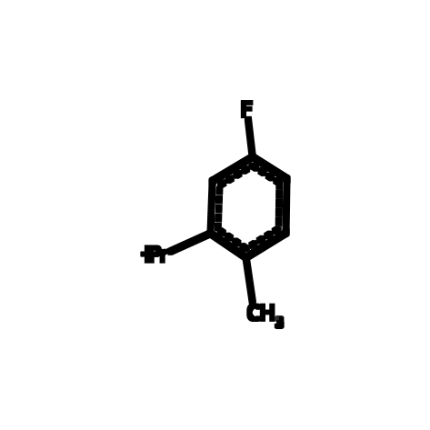 C[C](C)c1cc(F)ccc1C